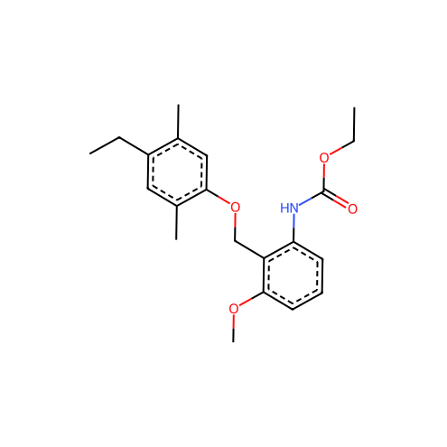 CCOC(=O)Nc1cccc(OC)c1COc1cc(C)c(CC)cc1C